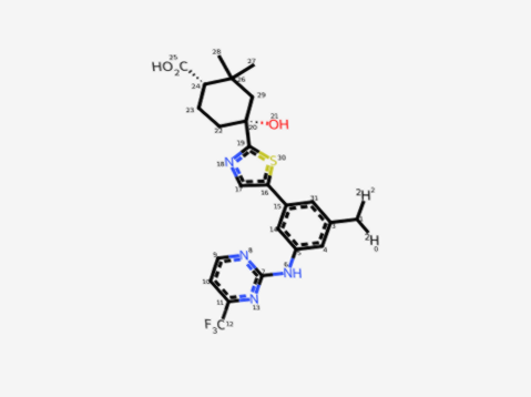 [2H]C([2H])c1cc(Nc2nccc(C(F)(F)F)n2)cc(-c2cnc([C@@]3(O)CC[C@H](C(=O)O)C(C)(C)C3)s2)c1